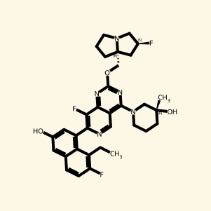 CCc1c(F)ccc2cc(O)cc(-c3ncc4c(N5CCC[C@@](C)(O)C5)nc(OC[C@]56CCCN5C[C@@H](F)C6)nc4c3F)c12